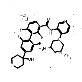 C[C@@H]1C[C@H](N)CN(c2ccncc2NC(=O)c2ccc(F)c(-c3c(F)cc(C4(O)CCOCC4)cc3F)c2F)C1.Cl.Cl